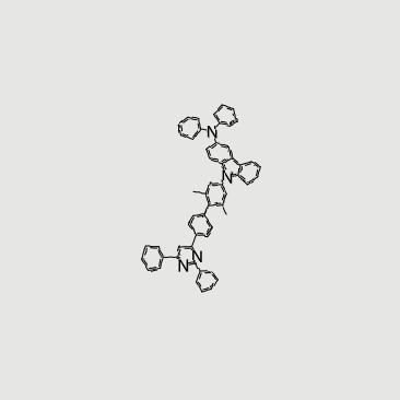 Cc1cc(-n2c3ccccc3c3cc(N(c4ccccc4)c4ccccc4)ccc32)cc(C)c1-c1ccc(-c2cc(-c3ccccc3)nc(-c3ccccc3)n2)cc1